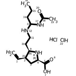 C=C[C@@H]1C[C@H](C(=O)O)N[C@@H]1CCNC(CCC)NC(C)=O.Cl.Cl